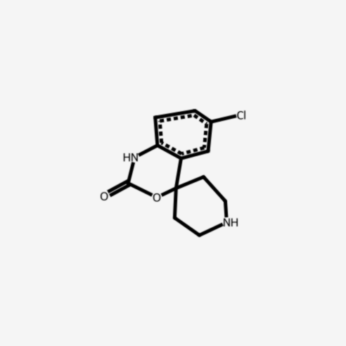 O=C1Nc2ccc(Cl)cc2C2(CCNCC2)O1